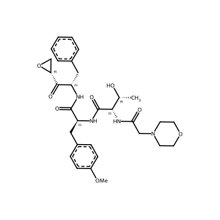 COc1ccc(C[C@H](NC(=O)[C@@H](NC(=O)CN2CCOCC2)[C@@H](C)O)C(=O)N[C@@H](Cc2ccccc2)C(=O)[C@H]2CO2)cc1